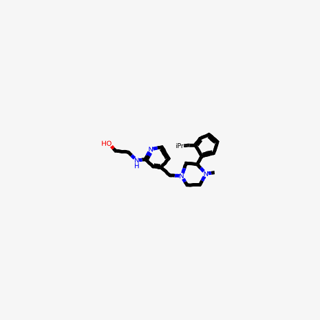 CC(C)c1ccccc1C1CN(Cc2ccnc(NCCO)c2)CCN1C